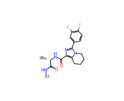 CCNC(=O)[C@@H](NC(=O)c1nc(-c2ccc(F)c(F)c2)n2c1CCCC2)C(C)(C)C